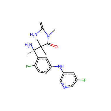 C=C(N)N(C)C(=O)C(C)(C)[C@](C)(N)c1cc(Nc2cncc(F)c2)ccc1F